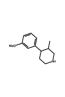 COc1cccc(N2CCNCC2C)c1